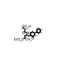 CCOC(=O)C(C)CC(Cc1ccc(-c2ccccc2)cc1Cl)NC(=O)CCC(=O)O